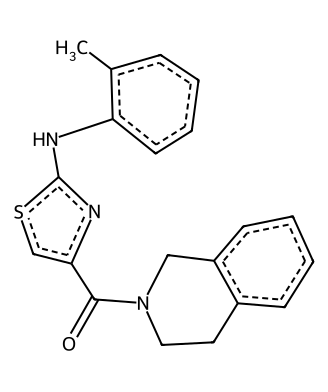 Cc1ccccc1Nc1nc(C(=O)N2CCc3ccccc3C2)cs1